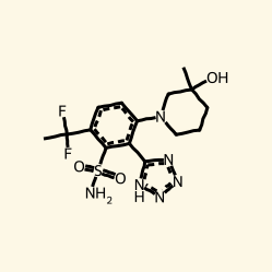 CC1(O)CCCN(c2ccc(C(C)(F)F)c(S(N)(=O)=O)c2-c2nnn[nH]2)C1